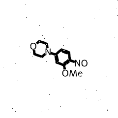 COc1cc(N2CCOCC2)ccc1N=O